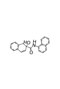 O=C(Nc1cccc2ccccc12)C1(O)C=Cc2ccccc2C1